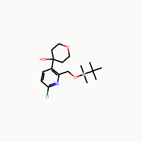 CC(C)(C)[Si](C)(C)OCc1nc(Cl)ccc1C1(O)CCOCC1